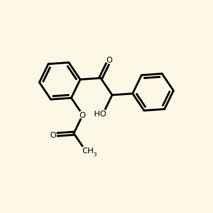 CC(=O)Oc1ccccc1C(=O)C(O)c1ccccc1